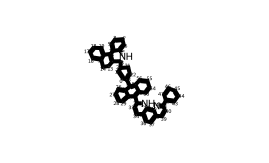 C1=CC(C2Nc3ccccc3C3=C2CCc2ccccc23)CC=C1c1c2ccccc2c(C2C=Cc3ccc4ccc(-c5ccccc5)nc4c3N2)c2ccccc12